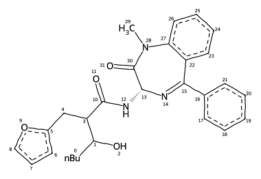 CCCCC(O)C(Cc1ccco1)C(=O)N[C@H]1N=C(c2ccccc2)c2ccccc2N(C)C1=O